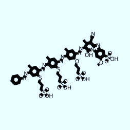 COc1cc2c(cc1S(=O)(=O)O)nc1c(C#N)c(C)c(N=Nc3cc(C)c(N=Nc4cc(C)c(N=Nc5cc(C)c(N=Nc6ccccc6)cc5SCCCS(=O)(=O)O)cc4SCCCS(=O)(=O)O)cc3OCCCS(=O)(=O)O)c(O)n12